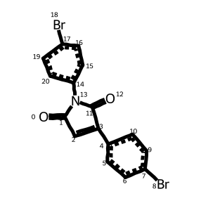 O=C1C=C(c2ccc(Br)cc2)C(=O)N1c1ccc(Br)cc1